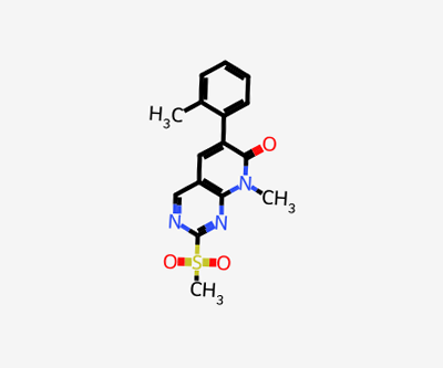 Cc1ccccc1-c1cc2cnc(S(C)(=O)=O)nc2n(C)c1=O